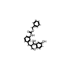 O=C(Nc1cccc(CC2COc3ccc(O)cc3C2O)c1)OCc1ccccc1